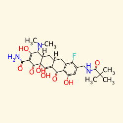 CN(C)[C@@H]1C(O)=C(C(N)=O)C(=O)[C@@]2(O)C(O)=C3C(=O)c4c(O)cc(CNC(=O)C(C)(C)C)c(F)c4C[C@H]3C[C@@H]12